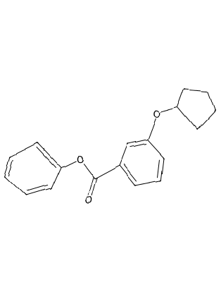 O=C(Oc1ccccc1)c1cccc(OC2CCCC2)c1